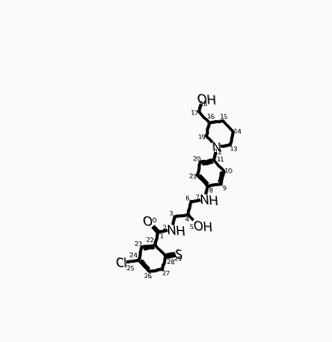 O=C(NCC(O)CNc1ccc(N2CCCC(CO)C2)cc1)C1=CC(Cl)=CCC1=S